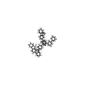 CC1(C)c2ccccc2-c2ccc3c4ccccc4n(-c4ccc(-c5nc(-c6cccc(-c7ccccc7)c6)nc(-c6ccc7c(c6)oc6ccccc67)n5)cc4)c3c21